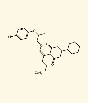 CCCC(=NOCC(C)Oc1ccc(Cl)cc1)C1C(=O)CC(C2CCCSC2)CC1=O.[CaH2]